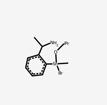 CC(C)[O][Sn]([CH3])([Br])[c]1ccccc1C(C)N